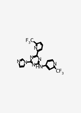 FC(F)(F)c1cc(Nc2nc(-c3cccc(C(F)(F)F)n3)nc(-n3ccnc3)n2)ccn1